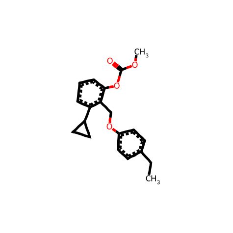 CCc1ccc(OCc2c(OC(=O)OC)cccc2C2CC2)cc1